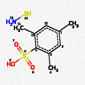 Cc1cc(C)c(S(=O)(=O)O)c(C)c1.NS